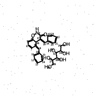 O=C1NOC2=CC=CC(=Cc3ccccc3)C2C1=Cc1ccccc1.OCC(O)C(O)C(O)C(O)CO